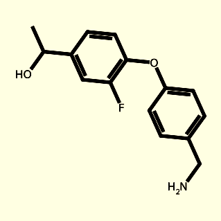 CC(O)c1ccc(Oc2ccc(CN)cc2)c(F)c1